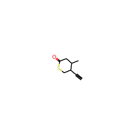 C#CC1CSC(=O)CC1C